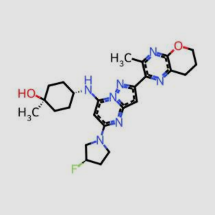 Cc1nc2c(nc1-c1cc3nc(N4CC[C@@H](F)C4)cc(N[C@H]4CC[C@](C)(O)CC4)n3n1)CCCO2